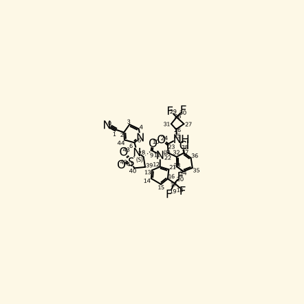 N#Cc1ccnc(N2[C@H](C(=O)N(c3cccc(C(F)(F)F)c3)[C@H](C(=O)NC3CC(F)(F)C3)c3ccccc3Cl)CCS2(=O)=O)c1